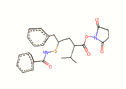 CC(C)C(CC(Cc1ccccc1)SNC(=O)c1ccccc1)C(=O)ON1C(=O)CCC1=O